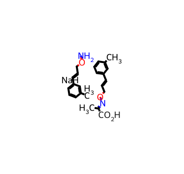 CC(=NOCC=Cc1cccc(C)c1)C(=O)O.Cc1cccc(C=CCON)c1.[NaH]